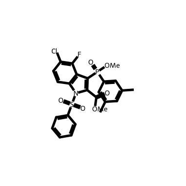 COC(=O)c1c(P(=O)(OC)c2cc(C)cc(C)c2)c2c(F)c(Cl)ccc2n1S(=O)(=O)c1ccccc1